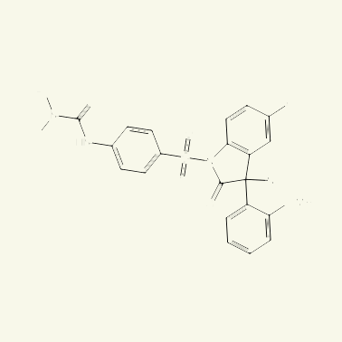 CCN(CC)C(=O)Nc1ccc(S(=O)(=O)N2C(=O)C(N)(c3ccccc3OC)c3cc(Cl)ccc32)cc1